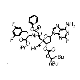 C#C[C@]1(CO[P@@](=O)(N[C@@H](Cc2cc(F)cc(F)c2)C(=O)OC(C)C)Oc2ccccc2)O[C@@H](n2cnc3c(N)nc(F)nc32)C[C@@H]1OC(=O)OC(CCCC)CCCC